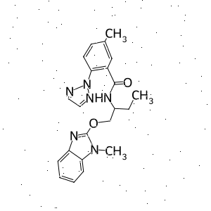 CCC(COc1nc2ccccc2n1C)NC(=O)c1cc(C)ccc1-n1nccn1